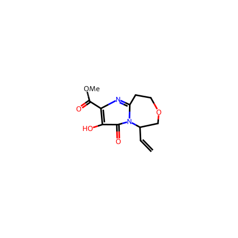 C=CC1COCCc2nc(C(=O)OC)c(O)c(=O)n21